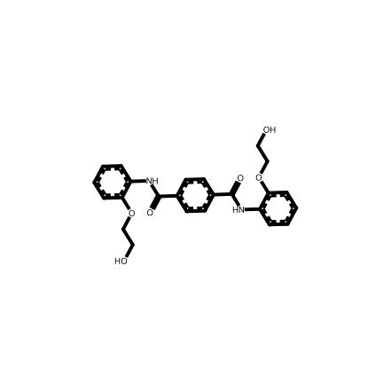 O=C(Nc1ccccc1OCCO)c1ccc(C(=O)Nc2ccccc2OCCO)cc1